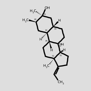 CC=C1CC[C@H]2[C@@H]3CC[C@H]4C[C@](C)(O)[C@H](C)C[C@@H]4[C@H]3CC[C@]12C